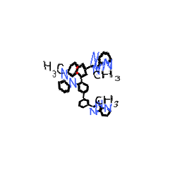 CN1c2ccccc2N(c2cc(-c3cccc(-c4nc5cccnc5n4C)c3)ccc2-c2cccc(-c3nc4cccnc4n3C)c2)c2ccccc21